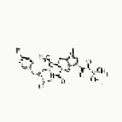 COc1cc2[nH]cc(C(=O)C(=O)N(C)C)c2cc1C(=O)N1CCN(Cc2ccc(F)cc2)C(=O)C1